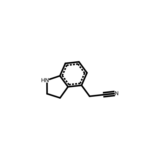 N#CCc1cccc2c1CCN2